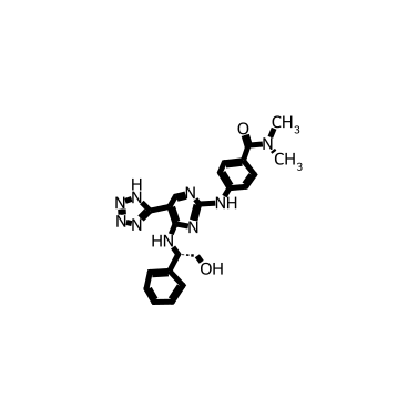 CN(C)C(=O)c1ccc(Nc2ncc(-c3nnn[nH]3)c(N[C@H](CO)c3ccccc3)n2)cc1